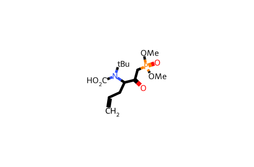 C=CCC(C(=O)CP(=O)(OC)OC)N(C(=O)O)C(C)(C)C